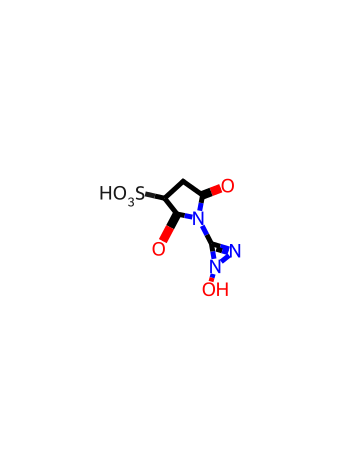 O=C1CC(S(=O)(=O)O)C(=O)N1C1=NN1O